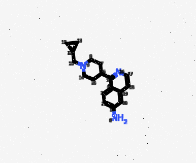 Nc1ccc2c(C3CCN(CC4CC4)CC3)nccc2c1